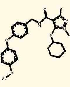 CCOc1ccc(Oc2ccc(CNC(=O)c3c(C)nn(C)c3OC3CCCCC3)cc2)cc1